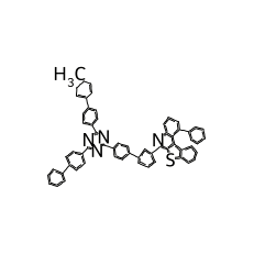 CC1C=CC(c2ccc(-c3nc(-c4ccc(-c5ccccc5)cc4)nc(-c4ccc(-c5cccc(-c6nc7cccc(-c8ccccc8)c7c7c6sc6ccccc67)c5)cc4)n3)cc2)=CC1